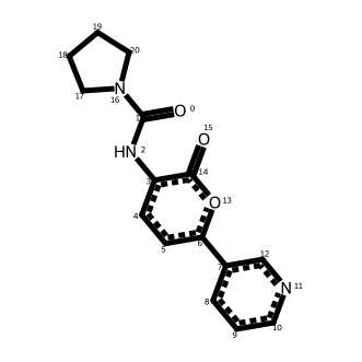 O=C(Nc1ccc(-c2cccnc2)oc1=O)N1CCCC1